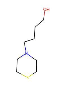 OCCCCN1CCSCC1